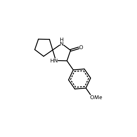 COc1ccc(C2NC3(CCCC3)NC2=O)cc1